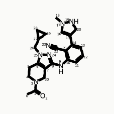 CC(=O)N1CCc2c(c(Nc3cccc(C4=CN(C)NC4)c3C#N)nn2CC2CC2)C1